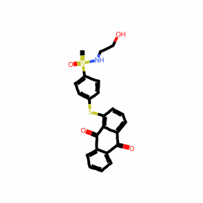 C=S(=O)(NCCO)c1ccc(Sc2cccc3c2C(=O)c2ccccc2C3=O)cc1